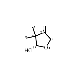 CC1(C)COCN1.Cl